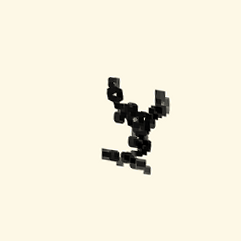 CN(CCN1CCN(c2cnc3c(cc(C(=O)NCc4ccc(Cl)cc4)c(=O)n3CC(=O)N3CC(C)(F)C3)n2)C1=O)C(=O)O